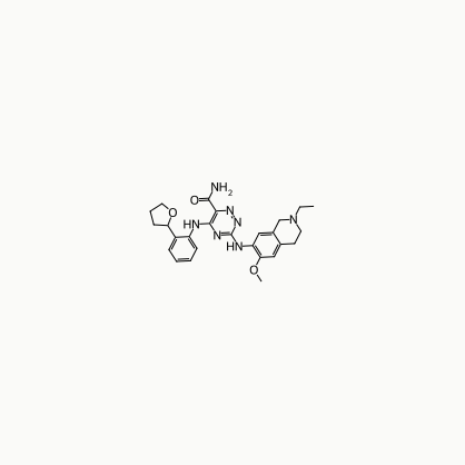 CCN1CCc2cc(OC)c(Nc3nnc(C(N)=O)c(Nc4ccccc4C4CCCO4)n3)cc2C1